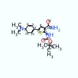 CN(C)C1C=CC(c2cc(C(N)=O)c(NC(=O)OC(C)(C)C)s2)=CC1